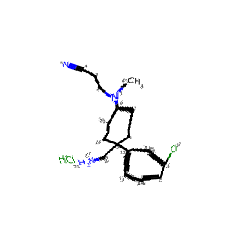 CN(CCC#N)C1CCC(CN)(c2cccc(Cl)c2)CC1.Cl